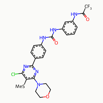 CSc1c(Cl)nc(-c2ccc(NC(=O)Nc3cccc(NC(=O)C(F)(F)F)c3)cc2)nc1N1CCOCC1